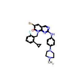 CN1CCN(c2ccc(Nc3ncc4cc(Br)c(=O)n(Cc5c(F)cccc5C5CC5)c4n3)cc2)CC1